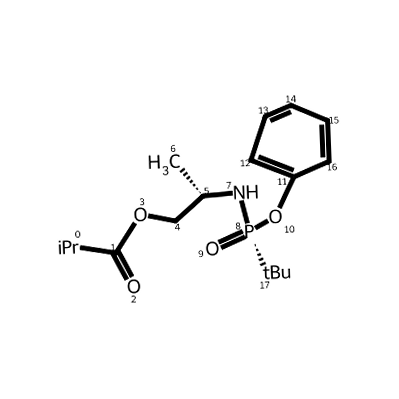 CC(C)C(=O)OC[C@H](C)N[P@](=O)(Oc1ccccc1)C(C)(C)C